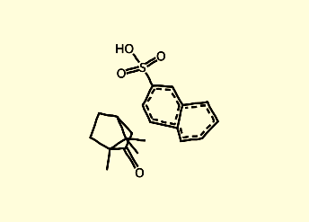 CC12CCC(CC1=O)C2(C)C.O=S(=O)(O)c1ccc2ccccc2c1